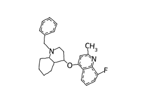 Cc1cc(OC2CCN(Cc3ccccc3)C3CCCCC23)c2cccc(F)c2n1